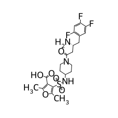 Cc1oc(C)c(S(=O)(=O)NC2CCN(C(=O)C[C@H](N)Cc3cc(F)c(F)cc3F)CC2)c1C(=O)O